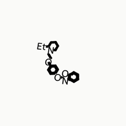 CCC1CCCCN1CCOc1ccc(Oc2nc3ccccc3o2)cc1